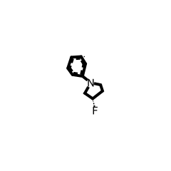 F[C@H]1CCN(c2c[c]ccc2)C1